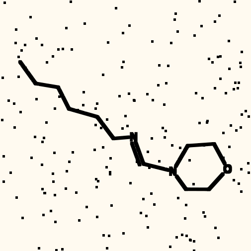 CCCCCCN=CN1CCOCC1